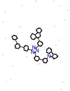 c1ccc(-c2cccc(-c3ccc(-c4nc(-c5cccc(-c6cccc(-n7c8ccccc8c8ccccc87)c6)c5)nc(-c5cccc(-c6cc7ccccc7c7ccccc67)c5)n4)cc3)c2)cc1